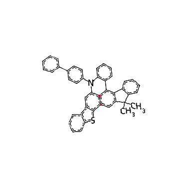 CC1(C)c2ccccc2-c2c(-c3ccccc3N(c3ccc(-c4ccccc4)cc3)c3ccc4sc5ccccc5c4c3)cccc21